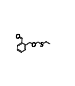 CCSCOCc1ccccc1C=O